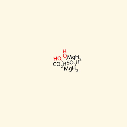 O=C(O)O.O=S(=O)(O)O.[MgH2].[MgH2]